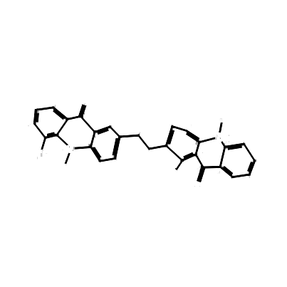 CCc1c(CCc2ccc3c(c2)c(=O)c2cccc(C(C)C)c2n3C)ccc2c1c(=O)c1ccccc1n2C